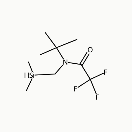 C[SiH](C)CN(C(=O)C(F)(F)F)C(C)(C)C